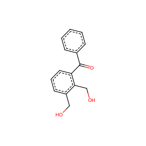 O=C(c1ccccc1)c1cccc(CO)c1CO